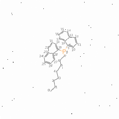 CCCCCCCCP(c1cccc2ccccc12)c1cccc2ccccc12